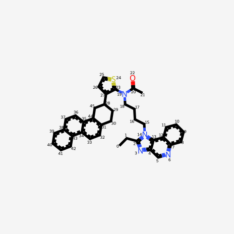 CCc1nc2cnc3ccccc3c2n1CCCCN(C(C)=O)c1sccc1C1CCc2ccc3c(ccc4ccccc43)c2C1